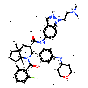 Cc1cccc(F)c1C(=O)N1[C@@H]2CCC[C@@H]2C[C@H](C(=O)Nc2ccc3c(cnn3CCN(C)C)c2)[C@@H]1c1ccc(NC2CCOCC2)cc1